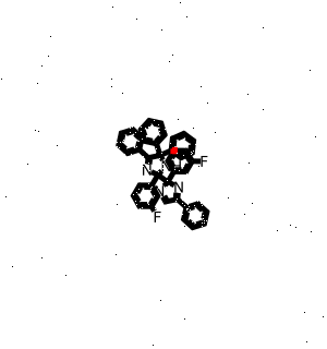 Fc1cccc(C2(C3(c4cccc(F)c4)N=C(c4ccccc4)C(c4ccccc4)(c4ccccc4)N3)N=CC(c3ccccc3)=N2)c1